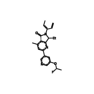 C=C/C(=C\C)N1C(=O)c2c(C)cc(-c3cncc(OC(C)F)c3)nc2C1CC